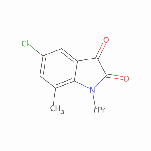 CCCN1C(=O)C(=O)c2cc(Cl)cc(C)c21